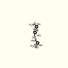 CS(=O)(=O)Nc1cc([C@@H](O)CNCCc2ccc(S(=O)(=O)c3ccc(O)c(C(N)=O)c3)cc2)ccc1O.Cl